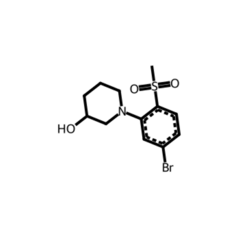 CS(=O)(=O)c1ccc(Br)cc1N1CCCC(O)C1